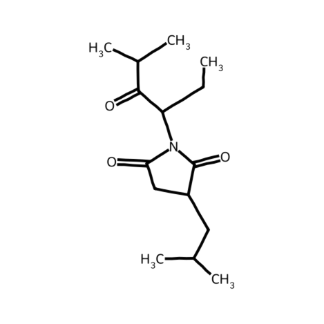 CCC(C(=O)C(C)C)N1C(=O)CC(CC(C)C)C1=O